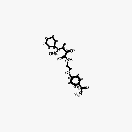 CC(C(=O)C(=O)NCCOc1ccc(C(N)=O)cc1)N(C=O)C1CCCCC1